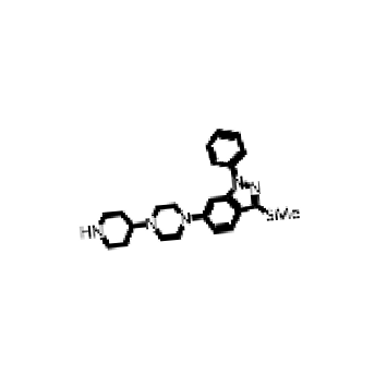 CSc1nn(-c2ccccc2)c2cc(N3CCN(C4CCNCC4)CC3)ccc12